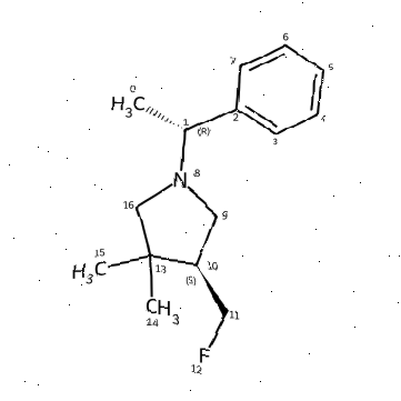 C[C@H](c1ccccc1)N1C[C@@H](CF)C(C)(C)C1